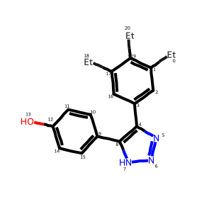 CCc1cc(-c2nn[nH]c2-c2ccc(O)cc2)cc(CC)c1CC